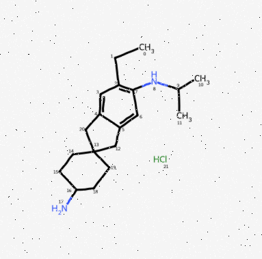 CCc1cc2c(cc1NC(C)C)CC1(CCC(N)CC1)C2.Cl